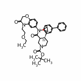 CCOCCN1C(=O)COc2ccc(N(C(=O)C3CN(C(=O)OC(C)(C)C)CC[C@@H]3c3cccc(-c4ccccc4)c3)C3CC3)cc21